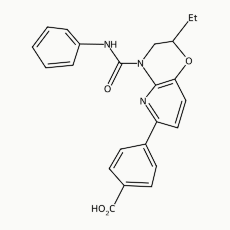 CCC1CN(C(=O)Nc2ccccc2)c2nc(-c3ccc(C(=O)O)cc3)ccc2O1